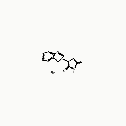 Br.O=C1NC(=S)CC1N1C=Nc2ccccc2C1